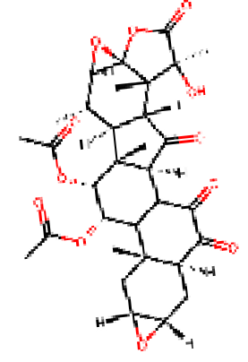 CC(=O)O[C@H]1C2C(C(=O)C(=O)[C@H]3C[C@@H]4O[C@@H]4C[C@]23C)[C@@H]2C(=O)[C@@H]3[C@H]([C@H](C)[C@H]4O[C@]45OC(=O)[C@@](C)(O)[C@]35C)[C@@]2(C)[C@H]1OC(C)=O